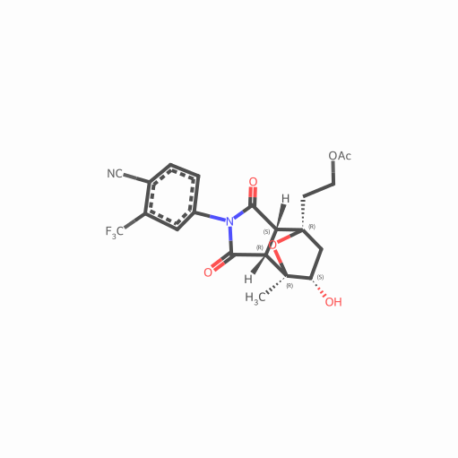 CC(=O)OCC[C@]12C[C@H](O)[C@](C)(O1)[C@@H]1C(=O)N(c3ccc(C#N)c(C(F)(F)F)c3)C(=O)[C@@H]12